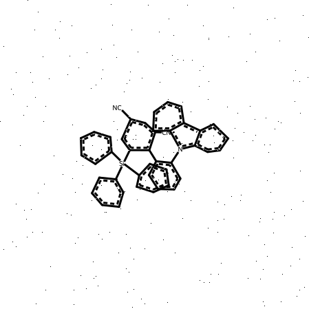 N#Cc1cc(C#N)c(-c2ccccc2-n2c3ccccc3c3ccccc32)c([Si](c2ccccc2)(c2ccccc2)c2ccccc2)c1